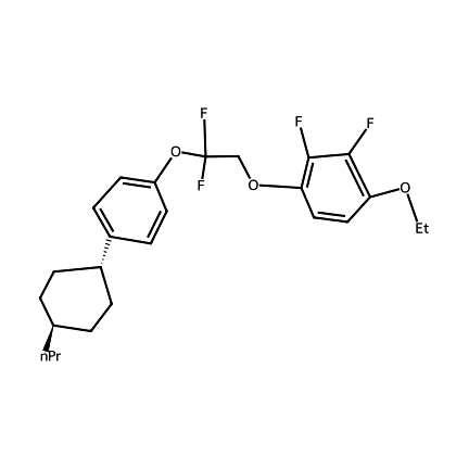 CCC[C@H]1CC[C@H](c2ccc(OC(F)(F)COc3ccc(OCC)c(F)c3F)cc2)CC1